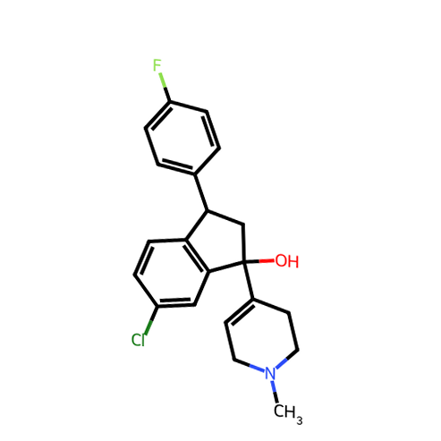 CN1CC=C(C2(O)CC(c3ccc(F)cc3)c3ccc(Cl)cc32)CC1